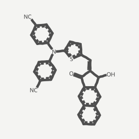 N#Cc1ccc(N(c2ccc(C#N)cc2)c2ccc(/C=C3\C(=O)c4cc5ccccc5cc4C3O)s2)cc1